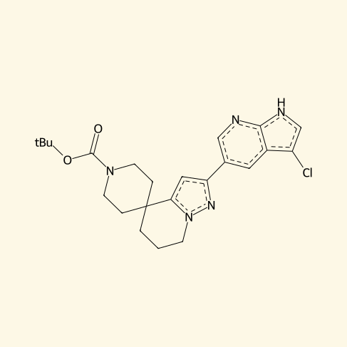 CC(C)(C)OC(=O)N1CCC2(CCCn3nc(-c4cnc5[nH]cc(Cl)c5c4)cc32)CC1